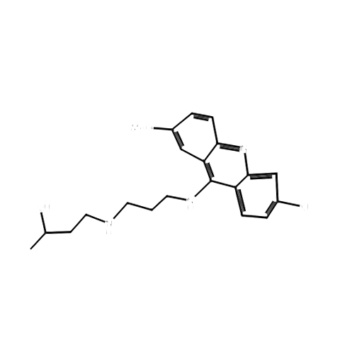 COc1ccc2nc3cc(Cl)ccc3c(NCCCNCCC(C)O)c2c1